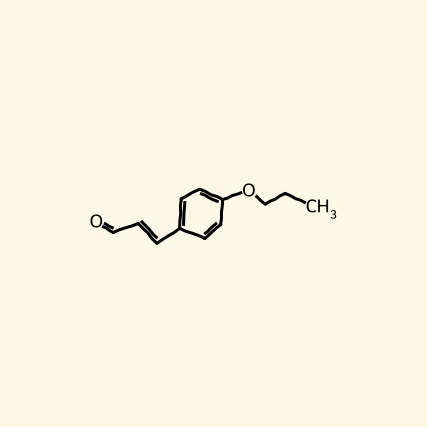 CCCOc1ccc(/C=C/C=O)cc1